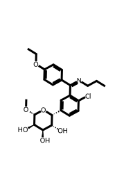 CCCN=C(c1ccc(OCC)cc1)c1cc([C@H]2O[C@@H](OC)[C@H](O)[C@H](O)[C@H]2O)ccc1Cl